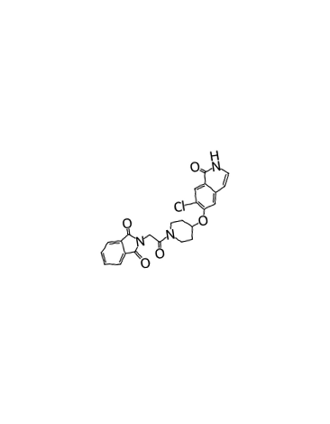 O=C(CN1C(=O)c2ccccc2C1=O)N1CCC(Oc2cc3cc[nH]c(=O)c3cc2Cl)CC1